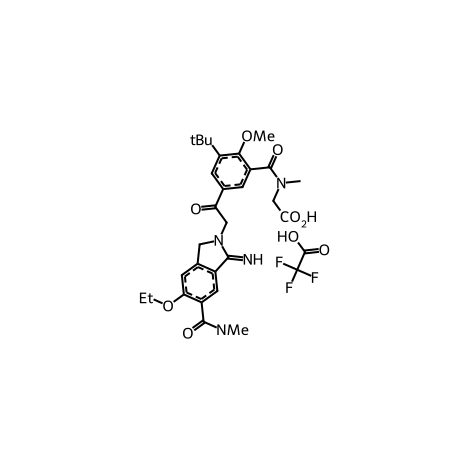 CCOc1cc2c(cc1C(=O)NC)C(=N)N(CC(=O)c1cc(C(=O)N(C)CC(=O)O)c(OC)c(C(C)(C)C)c1)C2.O=C(O)C(F)(F)F